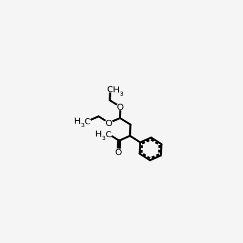 CCOC(CC(C(C)=O)c1ccccc1)OCC